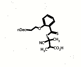 CCCCCCCCCCCCOc1ccccc1C(=S)SC(C)(C#N)C(C)C(=O)O